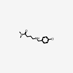 CN(C)C(=O)CCCNCc1ccc(Cl)cc1